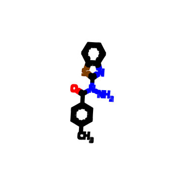 Cc1ccc(C(=O)N(N)c2nc3ccccc3s2)cc1